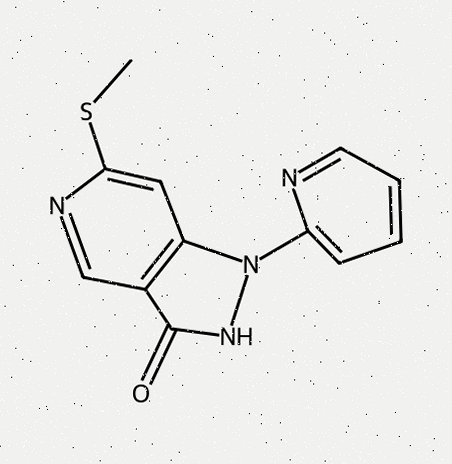 CSc1cc2c(cn1)c(=O)[nH]n2-c1ccccn1